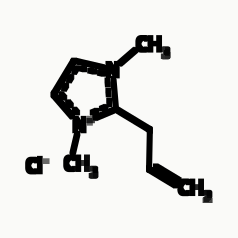 C=CCc1n(C)cc[n+]1C.[Cl-]